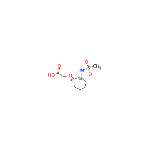 CS(=O)(=O)N[C@@H]1CCCC[C@H]1OCC(=O)O